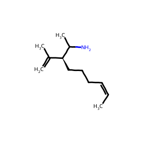 C=C(C)[C@H](CCC/C=C\C)C(C)N